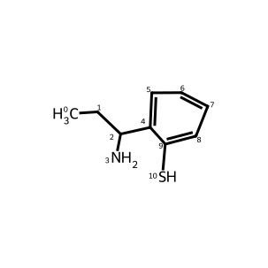 CCC(N)c1ccccc1S